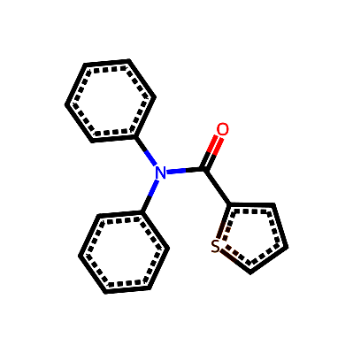 O=C(c1cccs1)N(c1ccccc1)c1ccccc1